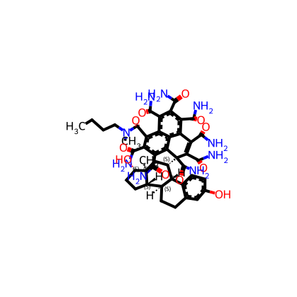 CCCCN(C)C(=O)c1c(C(N)=O)c(C(N)=O)c2c3c(c(C(N)=O)c(C(N)=O)c(C(N)=O)c13)C(C(N)=O)=C(C(N)=O)C2(C(N)=O)[C@H]1C[C@]2(C)[C@@H](O)CC[C@H]2[C@@H]2CCc3cc(O)ccc3[C@H]21